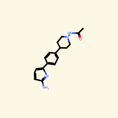 CC(=O)NN1CCC(c2ccc(-c3cccc(N)n3)cc2)CC1